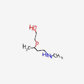 CNCCC(C)OCCO